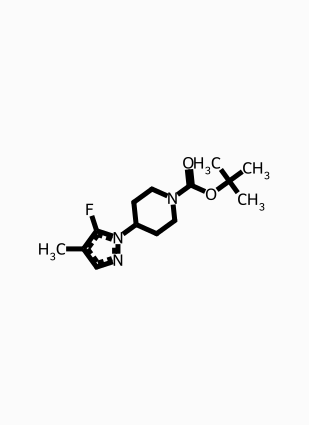 Cc1cnn(C2CCN(C(=O)OC(C)(C)C)CC2)c1F